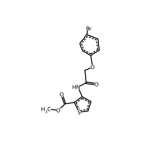 COC(=O)c1sccc1NC(=O)COc1ccc(Br)cc1